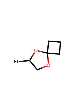 CCC1COC2(CCC2)O1